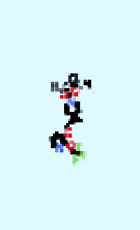 CC(C)(C)OC(=O)N1CCC2(CC1)C[C@H]2COc1cccnc1OCC(F)(F)F